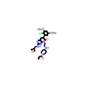 C=CC(=O)N1CCC(NCCn2c(=O)c(-c3cc(OC)cc(OC)c3Cl)cc3cnc(NCC4COC4)nc32)CC1